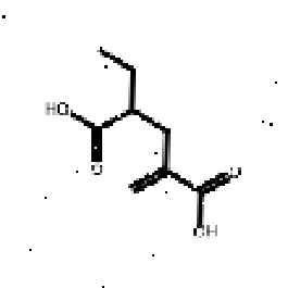 C=C(CC(CC)C(=O)O)C(=O)O